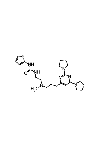 CN(CCNC(=O)Nc1cccs1)CCNc1cc(N2CCCC2)nc(N2CCCC2)n1